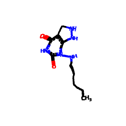 CCCCCNn1c2c(c(=O)[nH]c1=O)CNN2